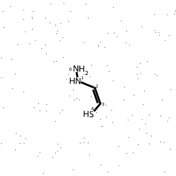 NN/C=C\S